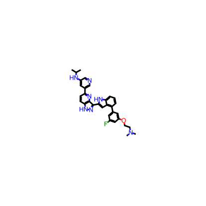 CC(C)Nc1cncc(-c2ccc3[nH]nc(-c4cc5c(-c6cc(F)cc(OCCN(C)C)c6)cccc5[nH]4)c3n2)c1